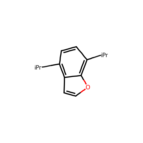 CC(C)c1ccc(C(C)C)c2occc12